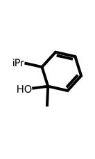 CC(C)C1C=CC=CC1(C)O